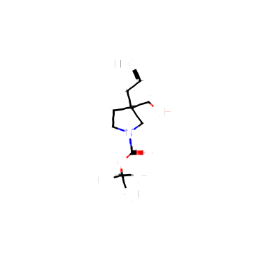 C=CCC1(CO)CCN(C(=O)OC(C)(C)C)C1